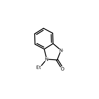 CCN1C(=O)[N]c2ccccc21